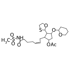 CC(=O)OC1CC(OC2CCCCO2)C(C2OCCS2)C1C/C=C\CCCC(=O)NS(C)(=O)=O